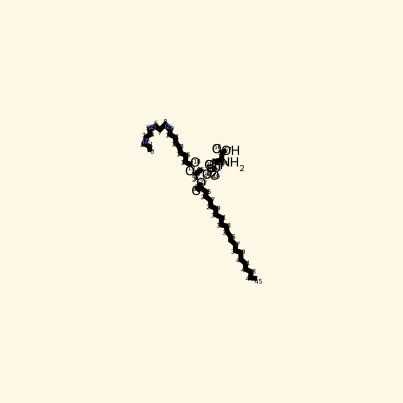 CC/C=C\C/C=C\C/C=C\CCCCCCCC(=O)O[C@H](COC(=O)CCCCCCCCCCCCCCCCCCCCC)COP(=O)(O)OC[C@H](N)C(=O)O